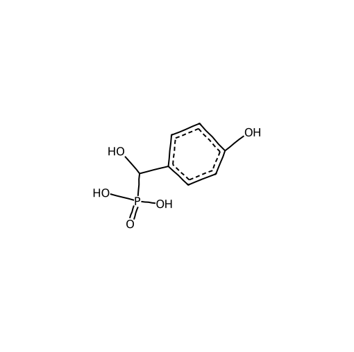 O=P(O)(O)C(O)c1ccc(O)cc1